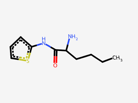 CCCCC(N)C(=O)Nc1cccs1